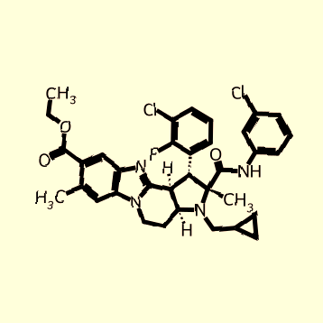 CCOC(=O)c1cc2nc3n(c2cc1C)CC[C@H]1[C@@H]3[C@H](c2cccc(Cl)c2F)[C@](C)(C(=O)Nc2cccc(Cl)c2)N1CC1CC1